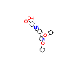 O=C(O)C1CCC(n2cc3cc(-c4ccc(OCc5ccccc5)nc4OCc4ccccc4)ccc3n2)CC1